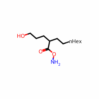 CCCCCCCCC(CCCO)C(=O)ON